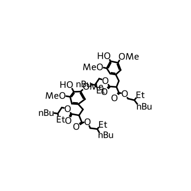 CCCCC(CC)COC(=O)C(Cc1cc(OC)c(O)c(OC)c1)C(=O)OCC(CC)CCCC.CCCCC(CC)COC(=O)C(Cc1cc(OC)c(O)c(OC)c1)C(=O)OCC(CC)CCCC